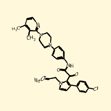 COCCn1ccc(-c2ccc(Cl)cc2)c1C(=O)C(=O)Nc1ccc(N2CCN(c3nccc(C)c3C)CC2)cc1